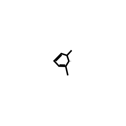 CC1=CC=CC(C)[CH]1